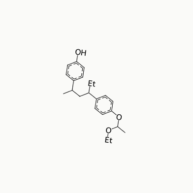 CCOC(C)Oc1ccc(C(CC)CC(C)c2ccc(O)cc2)cc1